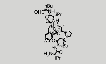 CCCC[C@@H](C=O)NC(=O)[C@@H](NC(=O)[C@H](Cc1ccccc1)[NH+]([O-])C[C@H](C)[C@@H](OC)[C@@H]1CCCN1C(=O)C[C@@H](OC)[C@H]([C@@H](C)CC)N(C)C(=O)[C@@H](N)C(C)C)C(C)C